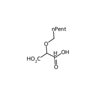 CCCCCCOC(C(=O)O)[PH](=O)O